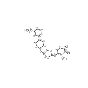 Cc1c(OC2CCN(CC3CCN(c4cccc(C(=O)O)c4)CC3)CC2)ccc(Cl)c1Cl